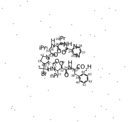 CCCC(NC(=O)[C@@H]1[C@@H](C(C)(C)Br)CCN1C(=O)[C@@H](NC(=O)[C@@H](NC(=O)c1cnccn1)C(C)C)C(C)C)C(=O)C(=O)N[C@@H](Cc1ccccc1)C(=O)O